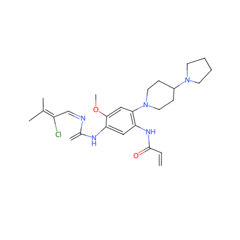 C=CC(=O)Nc1cc(NC(=C)/N=C\C(Cl)=C(C)C)c(OC)cc1N1CCC(N2CCCC2)CC1